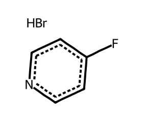 Br.Fc1ccncc1